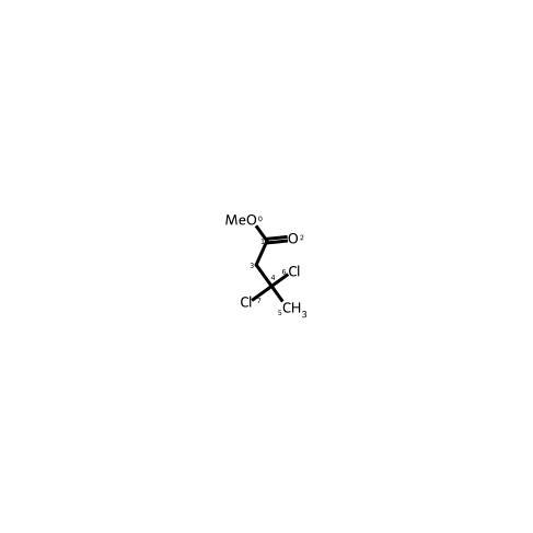 COC(=O)CC(C)(Cl)Cl